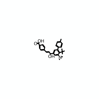 Cc1ccc(-c2cc(C(O)C=Cc3ccc(C(=O)O)cc3)cc(N(C)C)c2C(C)(C)C)cc1